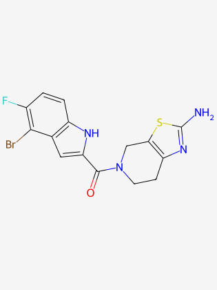 Nc1nc2c(s1)CN(C(=O)c1cc3c(Br)c(F)ccc3[nH]1)CC2